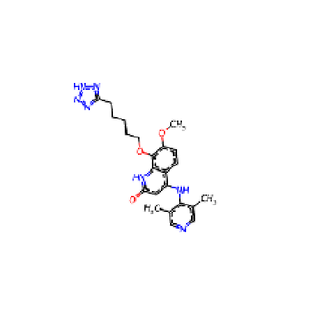 COc1ccc2c(Nc3c(C)cncc3C)cc(=O)[nH]c2c1OCCCCCc1nn[nH]n1